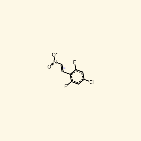 O=[N+]([O-])/C=C/c1c(F)cc(Cl)cc1F